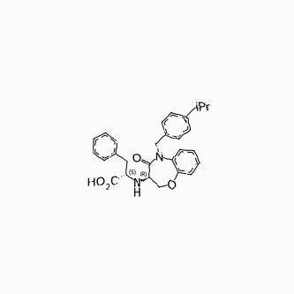 CC(C)c1ccc(CN2C(=O)[C@H](N[C@@H](Cc3ccccc3)C(=O)O)COc3ccccc32)cc1